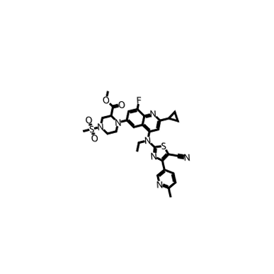 CCN(c1nc(-c2ccc(C)nc2)c(C#N)s1)c1cc(C2CC2)nc2c(F)cc(N3CCN(S(C)(=O)=O)CC3C(=O)OC)cc12